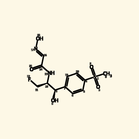 CS(=O)(=O)c1ccc([C@@H](O)[C@@H](CF)NC(=O)C=NO)cc1